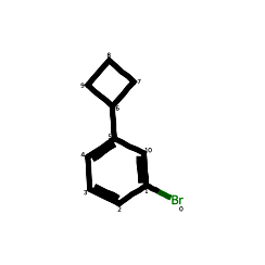 Brc1cccc([C]2CCC2)c1